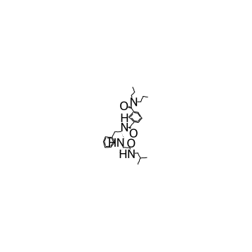 CCCN(CCC)C(=O)c1cccc(C(=O)N[C@H](CN[C@@H](C)C(=O)NCC(C)C)Cc2ccccc2)c1